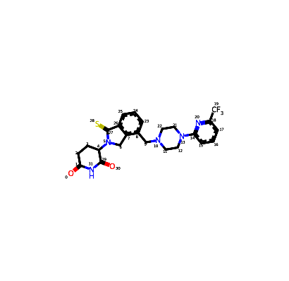 O=C1CCC(N2Cc3c(CN4CCN(c5cccc(C(F)(F)F)n5)CC4)cccc3C2=S)C(=O)N1